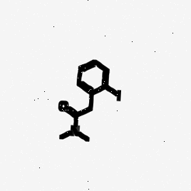 CN(C)C(=O)Cc1ccccc1I